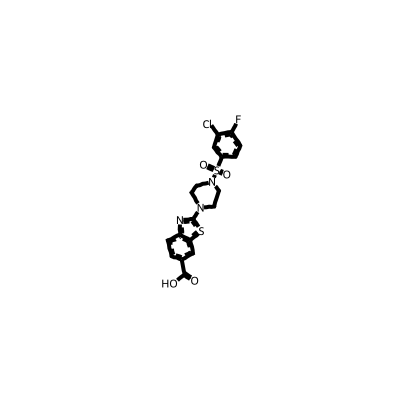 O=C(O)c1ccc2nc(N3CCN(S(=O)(=O)c4ccc(F)c(Cl)c4)CC3)sc2c1